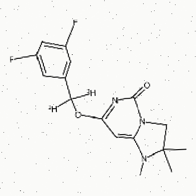 [2H]C([2H])(Oc1cc2n(c(=O)n1)CC(C)(C)N2C)c1cc(F)cc(F)c1